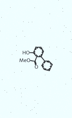 COC(=O)c1c(O)cccc1-c1ccccc1